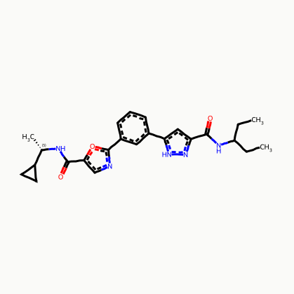 CCC(CC)NC(=O)c1cc(-c2cccc(-c3ncc(C(=O)N[C@@H](C)C4CC4)o3)c2)[nH]n1